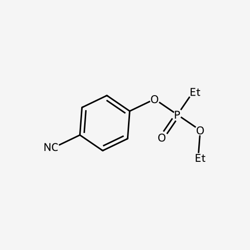 CCOP(=O)(CC)Oc1ccc(C#N)cc1